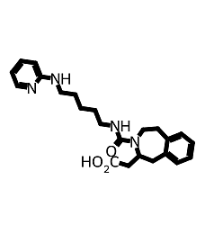 O=C(O)CC1Cc2ccccc2CCN1C(=O)NCCCCCNc1ccccn1